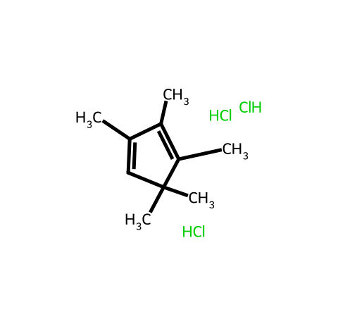 CC1=CC(C)(C)C(C)=C1C.Cl.Cl.Cl